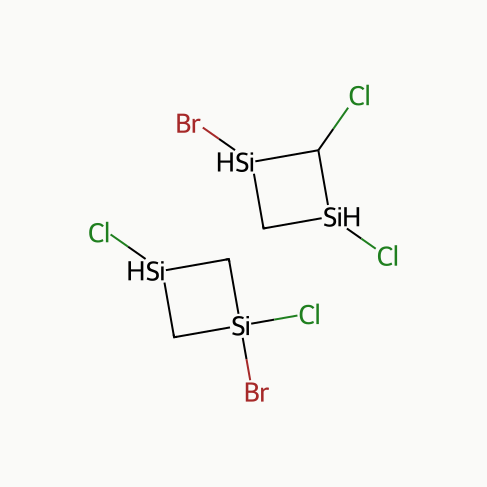 ClC1[SiH](Cl)C[SiH]1Br.Cl[SiH]1C[Si](Cl)(Br)C1